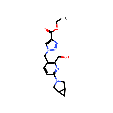 CCOC(=O)c1cn(Cc2ccc(N3CC4CC4C3)nc2CO)nn1